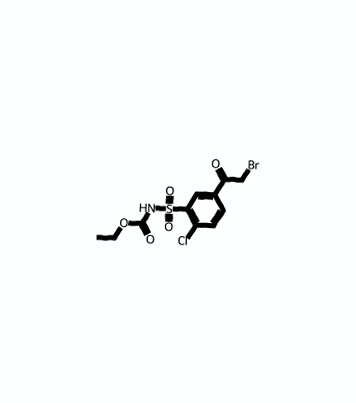 CCOC(=O)NS(=O)(=O)c1cc(C(=O)CBr)ccc1Cl